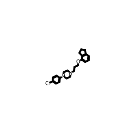 Clc1ccc(N2CCN(CCCOc3cccc4c3CCC4)CC2)cc1